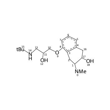 CNC1Cc2c(cccc2OCC(O)CNC(C)(C)C)CC1O